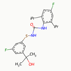 CC(C)c1cc(F)cc(C(C)C)c1NC(=O)NSc1cc(F)cc(C(C)(C)O)c1